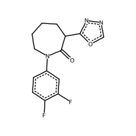 O=C1C(c2nnco2)CCCCN1c1ccc(F)c(F)c1